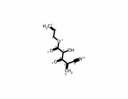 C=CCOC(=O)C(O)C(=O)C(=C)C#N